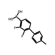 Cc1ccc(-c2ccc(B(O)O)c(F)c2F)cc1